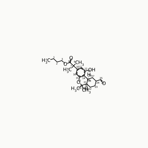 CCCCOC(=O)C(C)(C)c1cc(O)c2c(c1)OC(C)(C)[C@@H]1CCC(C=O)C[C@H]21